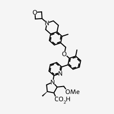 COCC1C(C(=O)O)[C@@H](C)CN1c1cccc(-c2cccc(C)c2OCc2ccc3c(c2C)CCN(C2COC2)C3)n1